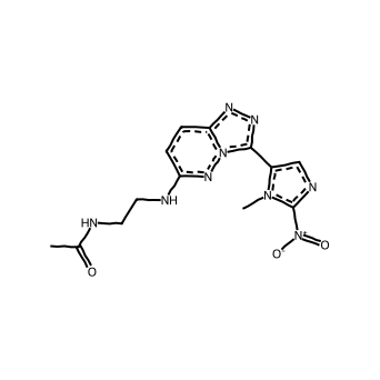 CC(=O)NCCNc1ccc2nnc(-c3cnc([N+](=O)[O-])n3C)n2n1